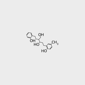 Cc1ccc(O)c(CCC(O)C(CO)CCc2ccccc2O)c1